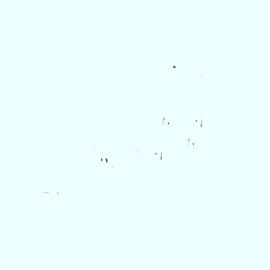 CCOC(=O)CSN(CCSI)c1nnc(-c2ccc(C)o2)n1-c1c(OC)cccc1OC